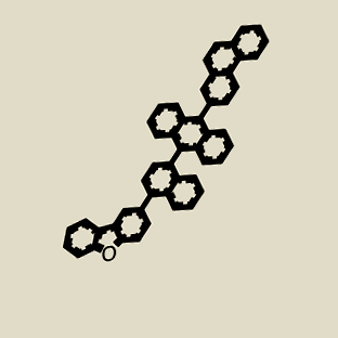 c1ccc2c(c1)ccc1cc(-c3c4ccccc4c(-c4ccc(-c5ccc6oc7ccccc7c6c5)c5ccccc45)c4ccccc34)ccc12